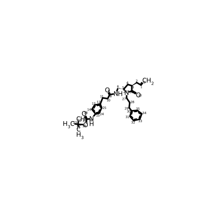 C=CC[C@@H]1C[C@@H](CNC(=O)CCc2ccc(NC(=O)OC(C)(C)C)cc2)N(CCCc2ccccc2)C1=O